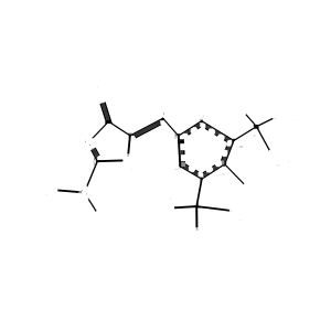 CN(C)C1=NC(=O)/C(=C/c2cc(C(C)(C)C)c(O)c(C(C)(C)C)c2)S1